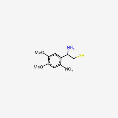 COc1cc(C(N)CS)c([N+](=O)[O-])cc1OC